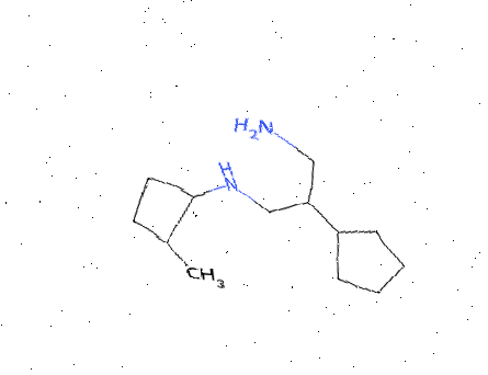 CC1CCC1NCC(CN)C1CCCC1